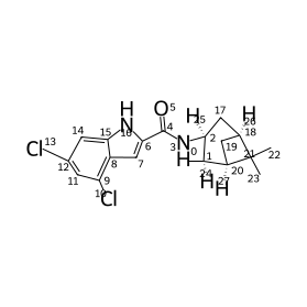 C[C@H]1[C@@H](NC(=O)c2cc3c(Cl)cc(Cl)cc3[nH]2)C[C@@H]2C[C@H]1C2(C)C